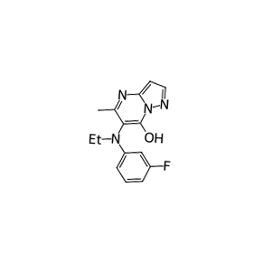 CCN(c1cccc(F)c1)c1c(C)nc2ccnn2c1O